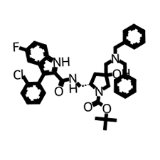 CC(C)(C)OC(=O)N1CC(O)(CN(Cc2ccccc2)Cc2ccccc2)C[C@H]1CNC(=O)c1[nH]c2ccc(F)cc2c1-c1ccccc1Cl